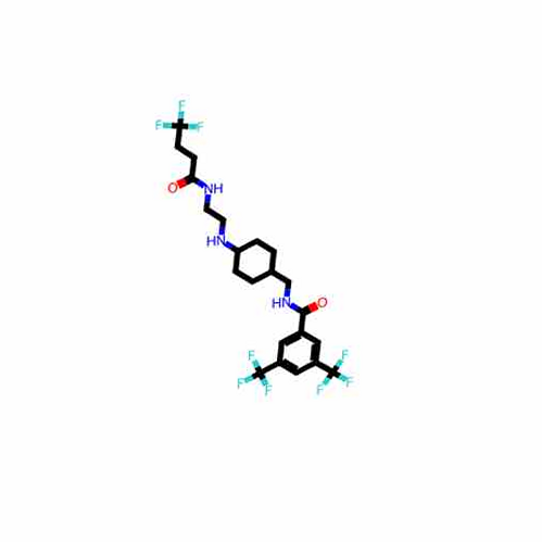 O=C(CCC(F)(F)F)NCCNC1CCC(CNC(=O)c2cc(C(F)(F)F)cc(C(F)(F)F)c2)CC1